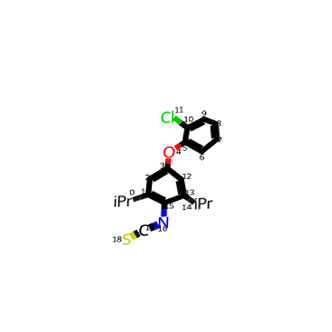 CC(C)c1cc(Oc2ccccc2Cl)cc(C(C)C)c1N=C=S